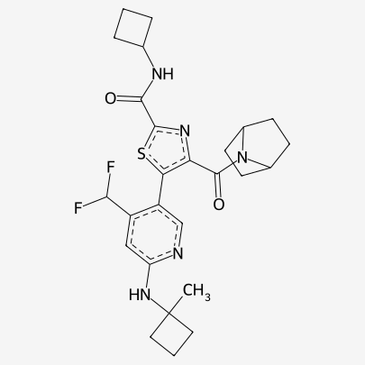 CC1(Nc2cc(C(F)F)c(-c3sc(C(=O)NC4CCC4)nc3C(=O)N3C4CCC3CC4)cn2)CCC1